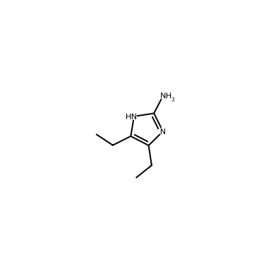 CCc1nc(N)[nH]c1CC